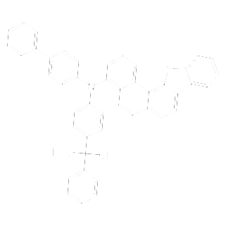 CC(C)(c1ccccc1)c1ccc(N(c2ccc(-c3ccccc3)cc2)c2cccc3c2ccc2ccc4c5ccccc5sc4c23)cc1